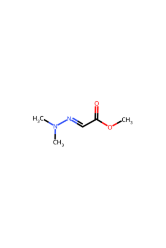 COC(=O)/C=N/N(C)C